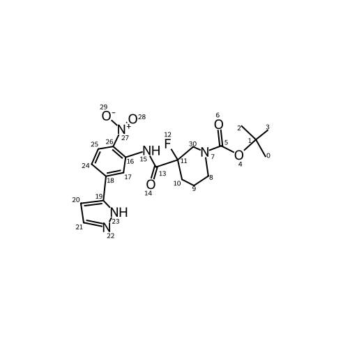 CC(C)(C)OC(=O)N1CCCC(F)(C(=O)Nc2cc(-c3ccn[nH]3)ccc2[N+](=O)[O-])C1